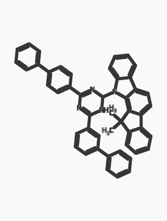 CC1(C)c2ccccc2-c2ccc3c4ccccc4n(C4N=C(c5ccc(-c6ccccc6)cc5)N=C(c5cccc(-c6ccccc6)c5)N4)c3c21